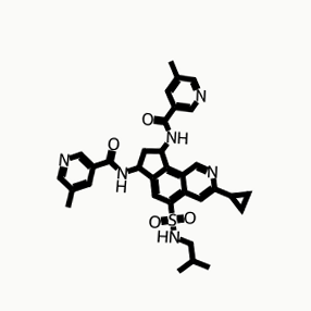 Cc1cncc(C(=O)NC2CC(NC(=O)c3cncc(C)c3)c3c2cc(S(=O)(=O)NCC(C)C)c2cc(C4CC4)ncc32)c1